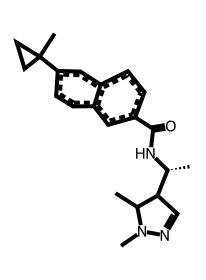 CC1C([C@@H](C)NC(=O)c2ccc3cc(C4(C)CC4)ccc3c2)C=NN1C